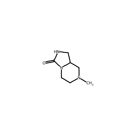 CN1CCN2C(=O)NCC2C1